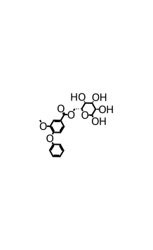 COc1cc(C(=O)OC[C@H]2OC(O)[C@H](O)[C@@H](O)[C@H]2O)ccc1Oc1ccccc1